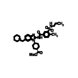 C=CCNS(=O)(=O)c1cc(C(=O)Nc2nc3ccc(CN4CCCCC4)cc3n2[C@H]2CC[C@@H](C(=O)OC)CC2)ccc1C